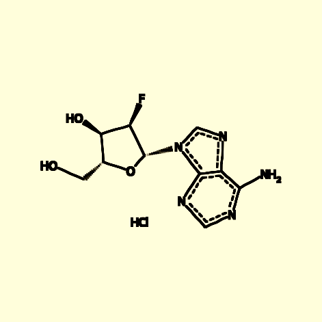 Cl.Nc1ncnc2c1ncn2[C@@H]1O[C@H](CO)[C@@H](O)[C@H]1F